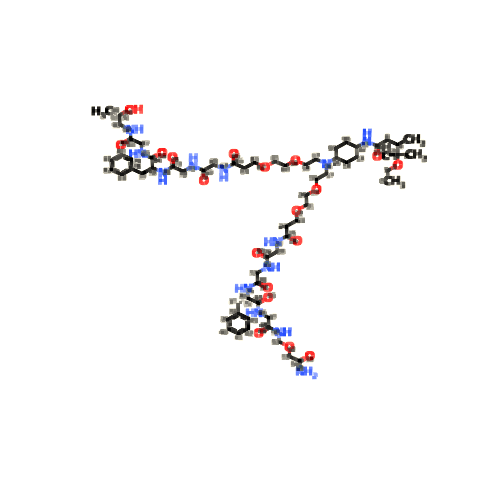 CCOC(C)(C)C(C)CC(=O)NC1CCC(N(CCOCCOCCC(=O)NCC(=O)NCC(=O)N[C@@H](Cc2ccccc2)C(=O)NCC(=O)NCOCC(N)=O)CCOCCOCCC(=O)NCC(=O)NCC(=O)N[C@@H](Cc2ccccc2)C(=O)NCC(=O)NC[C@H](C)O)CC1